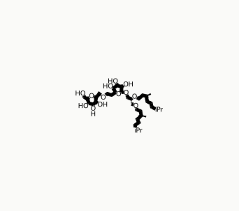 CC(C)CCC[C@H](C)CCOC[C@H](COC1OC(CCOCC2OC(CO)C(O)C(O)C2O)C(O)C(O)C1O)OCC[C@@H](C)CCCC(C)C